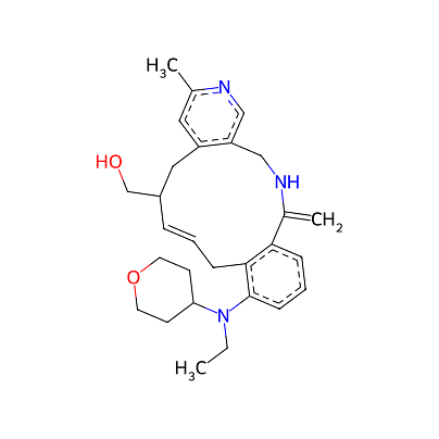 C=C1NCc2cnc(C)cc2CC(CO)/C=C/Cc2c1cccc2N(CC)C1CCOCC1